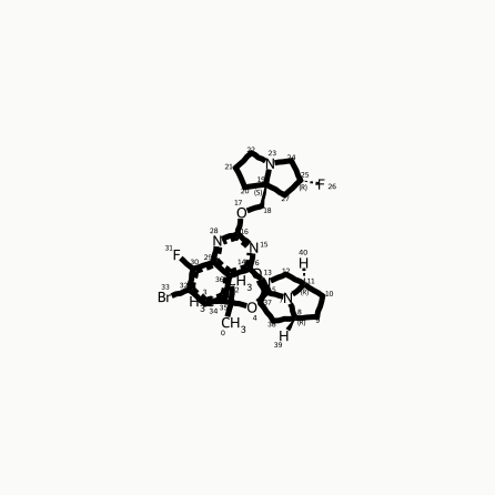 CC(C)(C)OC(=O)N1[C@@H]2CC[C@@H]1CN(c1nc(OC[C@@]34CCCN3C[C@H](F)C4)nc3c(F)c(Br)ccc13)CC2